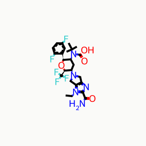 CCn1c(C(N)=O)nc2c1CN([C@@H]1C[C@H](N(C(=O)O)C(C)(C)C)[C@@H](c3cc(F)ccc3F)O[C@@H]1C(F)(F)F)C2